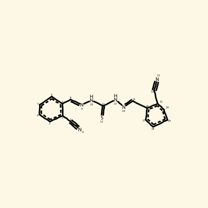 N#Cc1ccccc1C=NNC(=S)NN=Cc1ccccc1C#N